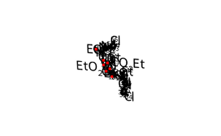 CCON=C(COc1cccc(C(OC(c2cccc(OCC(=NOCC)c3nnc(-c4cccc(Cl)c4)o3)c2)C(OCC)C(=O)OCC)C(OCC)C(=O)OCC)c1)c1nnc(-c2cccc(Cl)c2)o1